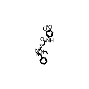 CCn1c(SCC(=O)Nc2ccc3c(c2)OCO3)nnc1-c1ccccc1